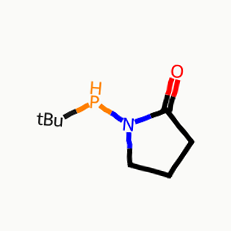 CC(C)(C)PN1CCCC1=O